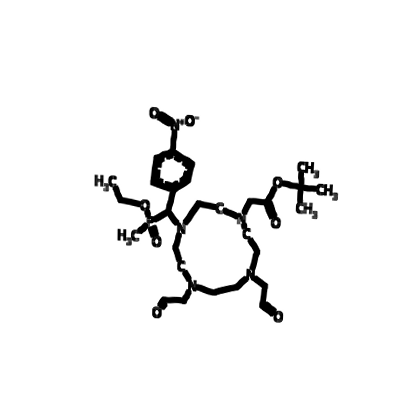 CCOP(C)(=O)C(c1ccc([N+](=O)[O-])cc1)N1CCN(CC=O)CCN(CC=O)CCN(CC(=O)OC(C)(C)C)CC1